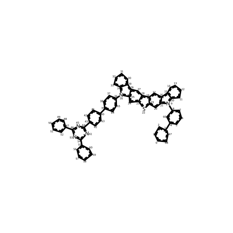 c1ccc(-c2cccc(-n3c4ccccc4c4cc5c(cc43)sc3cc4c(cc35)c3ccccc3n4-c3ccc(-c4ccc(-c5nc(-c6ccccc6)nc(-c6ccccc6)n5)cc4)cc3)c2)cc1